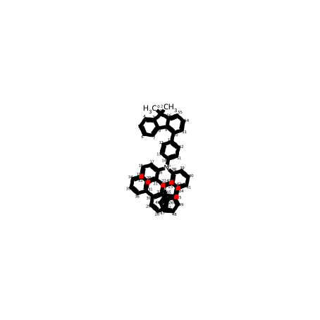 CC1(C)c2ccccc2-c2c(-c3ccc(N(c4ccccc4-c4cccc5cccc(-c6ccccc6)c45)c4cccc5c4oc4ccccc45)cc3)cccc21